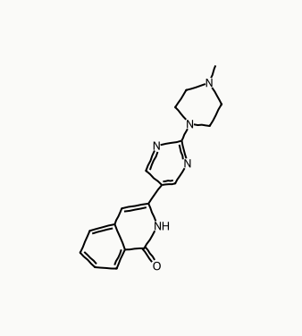 CN1CCN(c2ncc(-c3cc4ccccc4c(=O)[nH]3)cn2)CC1